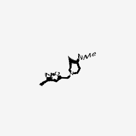 CNC1CCN(Cc2cc(C)no2)CC1